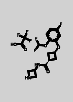 O=C(NC1CNC1)[C@H]1C[C@H](Oc2cc(F)ccc2OC(F)F)C1.O=C(O)C(F)(F)F